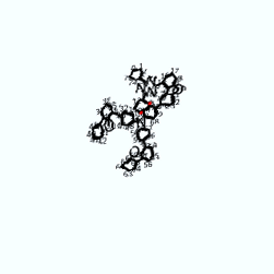 c1ccc(-c2nc(-c3ccccc3)nc(-c3cccc4oc5ccc(-c6ccc(N(c7ccc(-c8cccc9c8oc8ccccc89)cc7)c7ccc(-c8cccc9c8oc8ccccc89)cc7)cc6)cc5c34)n2)cc1